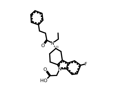 CCN(C(=O)CCc1ccccc1)[C@H]1CCc2c(c3cc(F)ccc3n2CC(=O)O)C1